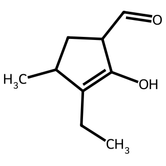 CCC1=C(O)C(C=O)CC1C